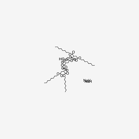 CCCCCCCCOC(=O)CC(C(=O)OCCCCCCCC)S(=O)(=O)OC(=O)CC(C(=O)OS(=O)(=O)C(CC(=O)OCCCCCCCC)C(=O)OCCCCCCCC)S(=O)(=O)O.[NaH].[NaH]